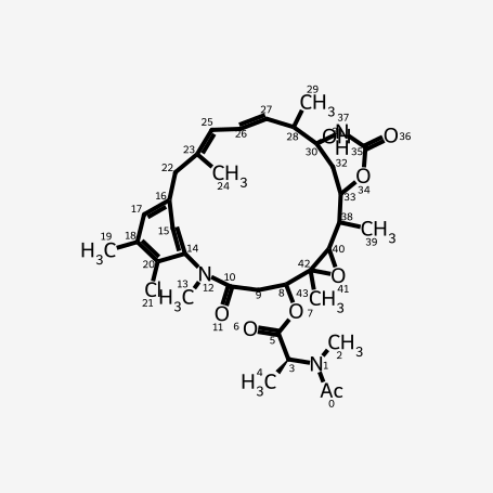 CC(=O)N(C)[C@@H](C)C(=O)OC1CC(=O)N(C)c2cc(cc(C)c2Cl)C/C(C)=C/C=C/C(C)C2(O)CC(OC(=O)N2)C(C)C2OC12C